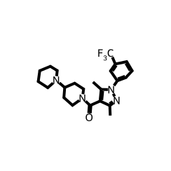 Cc1nn(-c2cccc(C(F)(F)F)c2)c(C)c1C(=O)N1CCC(N2CCCCC2)CC1